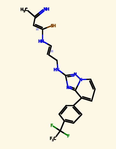 CC(=N)/C=C(\S)N/C=C/CNc1nc2c(-c3ccc(C(F)(F)C(F)(F)F)cc3)cccn2n1